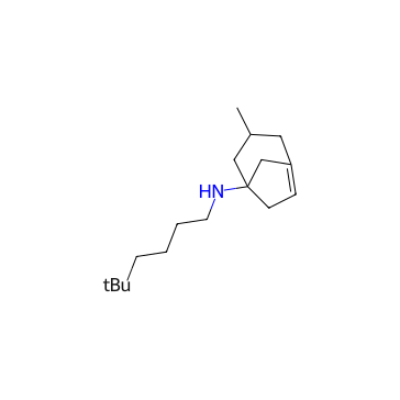 CC1CC2=CCC(NCCCCC(C)(C)C)(C2)C1